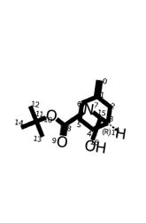 C=C1C[C@H]2CCC1N(C(=O)OC(C)(C)C)C2O